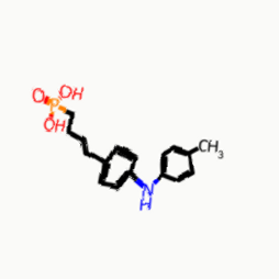 Cc1ccc(Nc2ccc(CCCCP(=O)(O)O)cc2)cc1